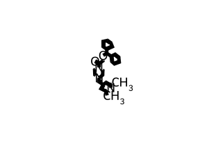 Cc1cc(CN2CCN(C(=O)COC(c3ccccc3)c3ccccc3)CC2)cc(C)n1